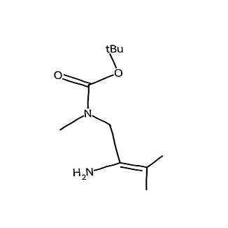 CC(C)=C(N)CN(C)C(=O)OC(C)(C)C